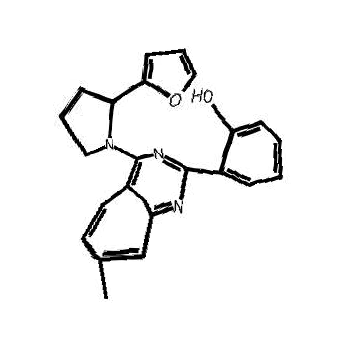 Cc1ccc2c(N3CCCC3c3ccco3)nc(-c3ccccc3O)nc2c1